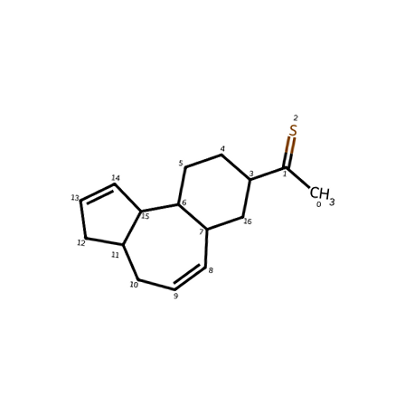 CC(=S)C1CCC2C(C=CCC3CC=CC32)C1